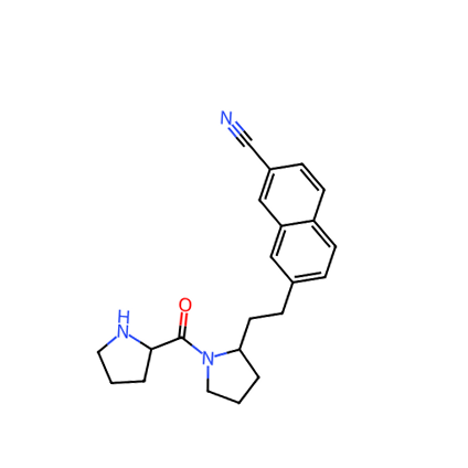 N#Cc1ccc2ccc(CCC3CCCN3C(=O)C3CCCN3)cc2c1